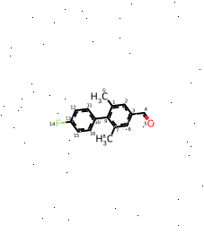 Cc1cc(C=O)cc(C)c1-c1ccc(F)cc1